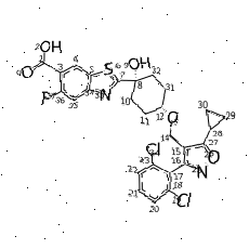 O=C(O)c1cc2sc([C@]3(O)CC[C@@H](OCc4c(-c5c(Cl)cccc5Cl)noc4C4CC4)CC3)nc2cc1F